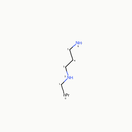 CCCCNCCC[NH]